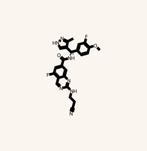 COc1ccc([C@H](NC(=O)c2cc(F)c3cnc(NCCC#N)nc3c2)c2c[nH]nc2C)cc1F